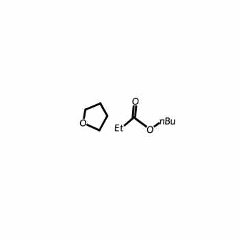 C1CCOC1.CCCCOC(=O)CC